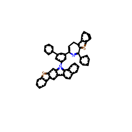 c1ccc2c3c(sc2c#1)C(c1ccccc1)=NC(c1cc(-c2ccccc2)cc(-n2c4cc5sc6ccccc6c5cc4c4ccc5ccccc5c42)c1)=CC3